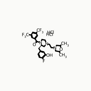 CC1CN(CCN2CCN(C(=O)c3cc(C(F)(F)F)cc(C(F)(F)F)c3)[C@H](Cc3ccc(F)c(O)c3)C2)CC(C)O1.Cl.Cl